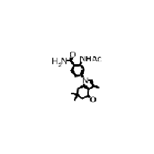 CC(=O)Nc1cc(-n2cc(C)c3c2CC(C)(C)CC3=O)ccc1C(N)=O